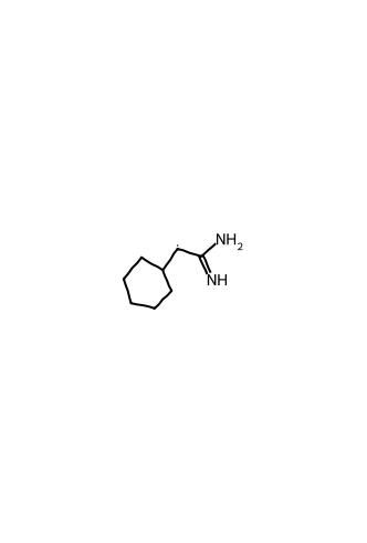 N=C(N)[CH]C1CCCCC1